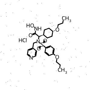 CCCOc1ccc(S(=O)(=O)N(Cc2ccncc2)C(C(=O)NO)[C@H]2CC[C@H](OCCC)CC2)cc1.Cl